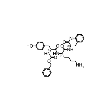 NCCCC[C@H](NC(=O)[C@H](Cc1ccc(O)cc1)NC(=O)OCc1ccccc1)C(=O)N[C@@H](Cc1ccccc1)C(N)=O